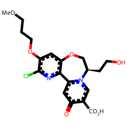 COCCCOc1cc2c(nc1Cl)-c1cc(=O)c(C(=O)O)cn1[C@H](CCO)CO2